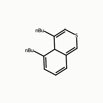 CCCCC1=[C]SC=C2C=CC=C(CCCC)C12